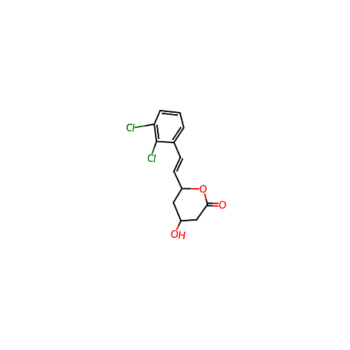 O=C1CC(O)CC(C=Cc2cccc(Cl)c2Cl)O1